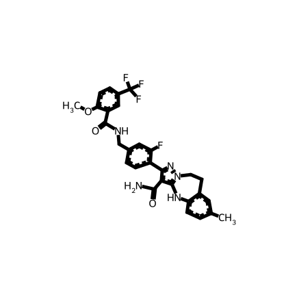 COc1ccc(C(F)(F)F)cc1C(=O)NCc1ccc(-c2nn3c(c2C(N)=O)Nc2ccc(C)cc2CC3)c(F)c1